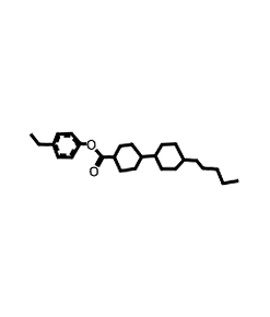 CCCCCC1CCC(C2CCC(C(=O)Oc3ccc(CC)cc3)CC2)CC1